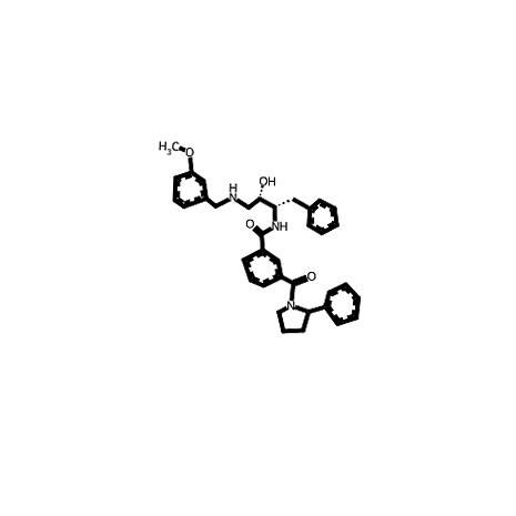 COc1cccc(CNC[C@H](O)[C@H](Cc2ccccc2)NC(=O)c2cccc(C(=O)N3CCCC3c3ccccc3)c2)c1